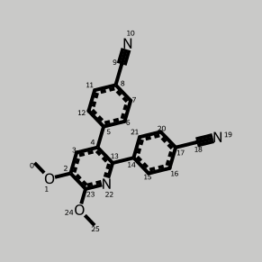 COc1cc(-c2ccc(C#N)cc2)c(-c2ccc(C#N)cc2)nc1OC